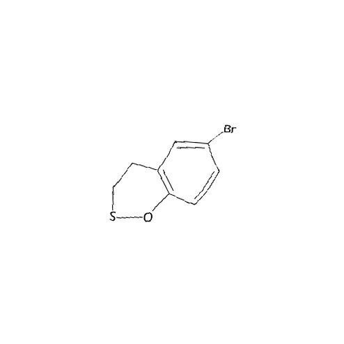 Brc1ccc2c(c1)CCSO2